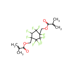 C=C(C)C(=O)OCC1(F)C(F)C(F)(F)C(F)(COC(=O)C(=C)C)C(F)(F)C1(F)F